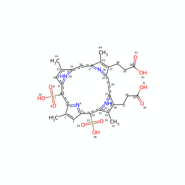 CC1=Cc2nc1c(S(=O)(=O)O)c1cc(C)c(cc3nc(cc4[nH]c(c(C)c4CCC(=O)O)c2S(=O)(=O)O)C(CCC(=O)O)=C3C)[nH]1